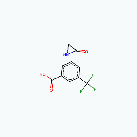 O=C(O)c1cccc(C(F)(F)F)c1.O=C1CN1